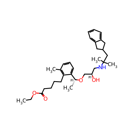 CCOC(=O)CCCCc1c(C)cccc1[C@@H](C)OC[C@H](O)CNC(C)(C)CC1Cc2ccccc2C1